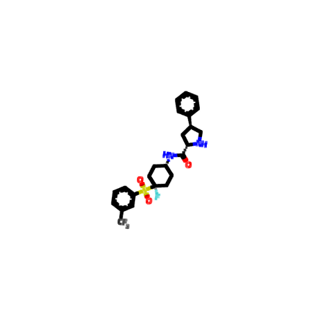 O=C(N[C@H]1CC[C@](F)(S(=O)(=O)c2cccc(C(F)(F)F)c2)CC1)[C@@H]1C[C@@H](c2ccccc2)CN1